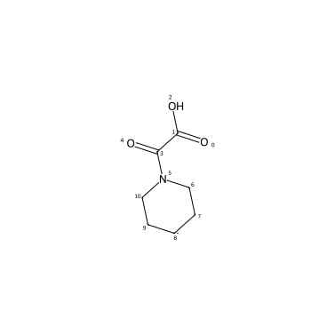 O=C(O)C(=O)N1CC[CH]CC1